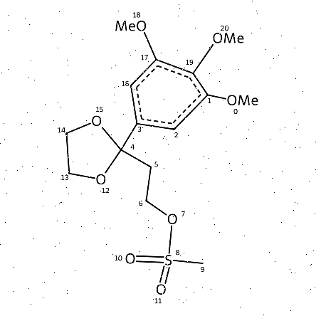 COc1cc(C2(CCOS(C)(=O)=O)OCCO2)cc(OC)c1OC